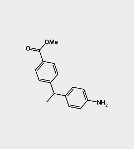 COC(=O)c1ccc(C(C)c2ccc(N)cc2)cc1